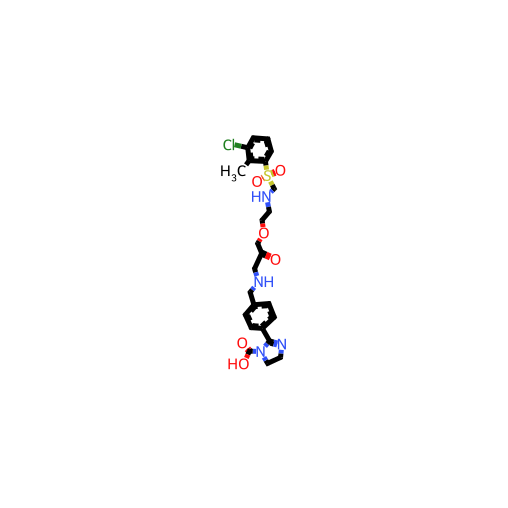 Cc1c(Cl)cccc1S(=O)(=O)CNCCOCC(=O)CNCc1ccc(C2=NCCN2C(=O)O)cc1